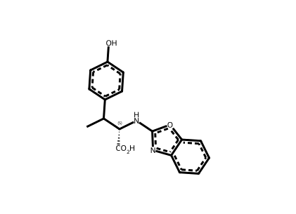 CC(c1ccc(O)cc1)[C@H](Nc1nc2ccccc2o1)C(=O)O